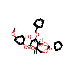 COc1ccc(O[C@@H]2O[C@@H]3CO[C@@H](c4ccccc4)O[C@H]3[C@H](OCc3ccccc3)[C@H]2O)cc1